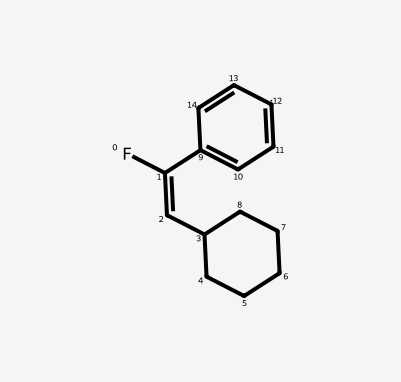 F/C(=C/C1CCCCC1)c1cc[c]cc1